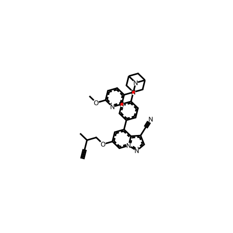 C#CC(C)COc1cc(-c2ccc(N3CC4CC(C3)N4Cc3ccc(OC)nc3)nc2)c2c(C#N)cnn2c1